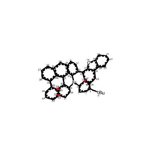 CC(C)(C)c1ccc(N(c2ccccc2-c2cccc3c2oc2ccccc23)c2ccccc2-c2cccc3cccc(-c4ccccc4)c23)cc1